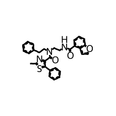 Cc1nc(C(=O)N(CCNC(=O)c2cccc3occc23)CCc2ccccc2)c(-c2ccccc2)s1